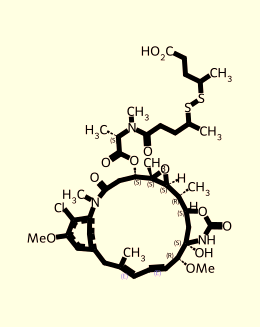 COc1cc2cc(c1Cl)N(C)C(=O)C[C@H](OC(=O)[C@H](C)N(C)C(=O)CCC(C)SSC(C)CCC(=O)O)[C@]1(C)O[C@H]1[C@H](C)[C@@H]1C[C@@](O)(NC(=O)O1)[C@H](OC)/C=C/C=C(\C)C2